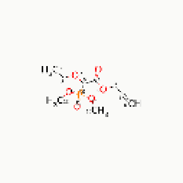 C#CCOC(=O)C(OCC)P(=O)(OC)OC